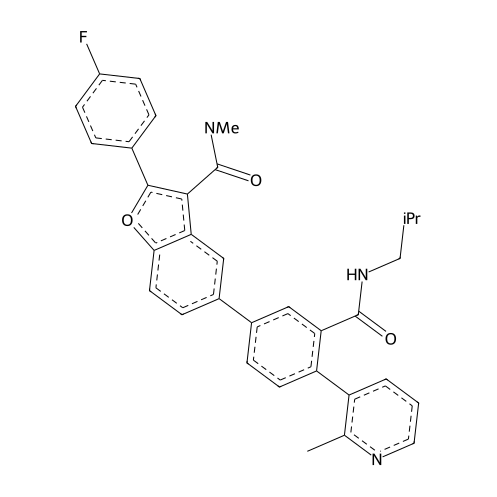 CNC(=O)c1c(-c2ccc(F)cc2)oc2ccc(-c3ccc(-c4cccnc4C)c(C(=O)NCC(C)C)c3)cc12